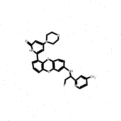 Cc1ccnc(C(CF)Nc2ccc3c(c2)Sc2cccc(-c4cc(N5CCOCC5)cc(=O)[nH]4)c2S3)c1